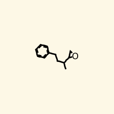 CC(CCc1ccccc1)C1CO1